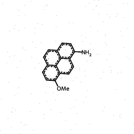 COc1ccc2ccc3ccc(N)c4ccc1c2c34